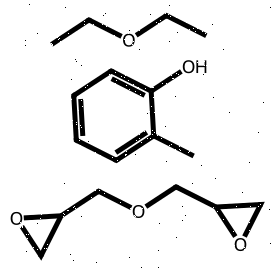 C(OCC1CO1)C1CO1.CCOCC.Cc1ccccc1O